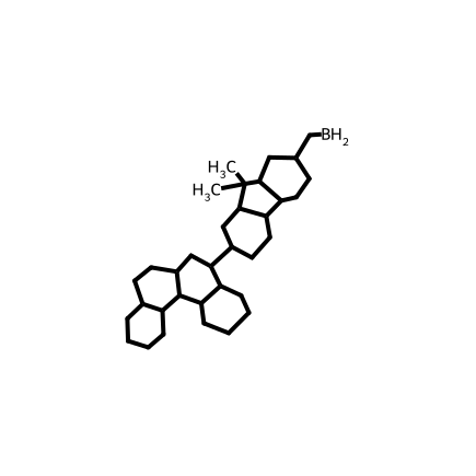 BCC1CCC2C3CCC(C4CC5CCC6CCCCC6C5C5CCCCC45)CC3C(C)(C)C2C1